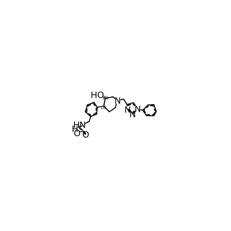 O=[SH](=O)NCc1cccc([C@@H]2CCN(Cc3cn(-c4ccccc4)nn3)C[C@@H]2O)c1